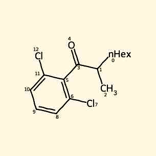 CCCCCCC(C)C(=O)c1c(Cl)cccc1Cl